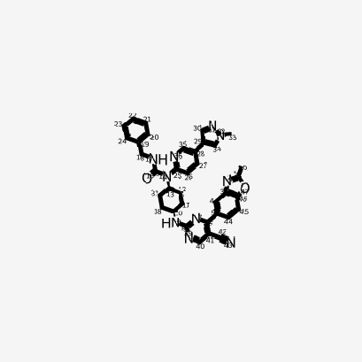 Cc1nc2cc(-c3nc(N[C@H]4CC[C@H](N(C(=O)NCc5ccccc5)c5ccc(-c6cnn(C)c6)cn5)CC4)ncc3C#N)ccc2o1